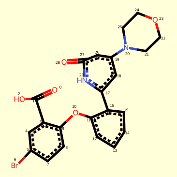 O=C(O)c1cc(Br)ccc1Oc1ccccc1-c1cc(N2CCOCC2)cc(=O)[nH]1